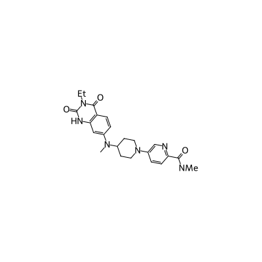 CCn1c(=O)[nH]c2cc(N(C)C3CCN(c4ccc(C(=O)NC)nc4)CC3)ccc2c1=O